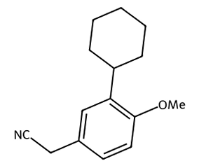 COc1ccc(CC#N)cc1C1CCCCC1